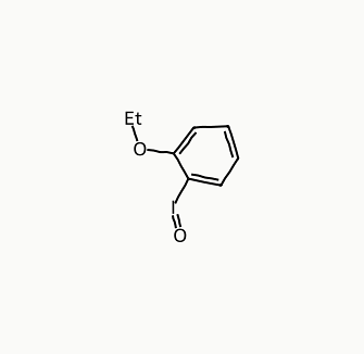 CCOc1ccccc1I=O